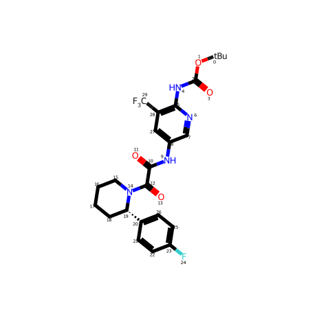 CC(C)(C)OC(=O)Nc1ncc(NC(=O)C(=O)N2CCCC[C@H]2c2ccc(F)cc2)cc1C(F)(F)F